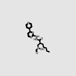 CCCCCC(CN(O)C=O)C(=O)NNc1nccc(-c2ccncc2)n1